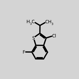 CC(C)c1sc2c(F)cccc2c1Cl